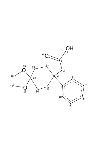 O=C(O)CC1(c2ccccc2)CCC2(CC1)OCCO2